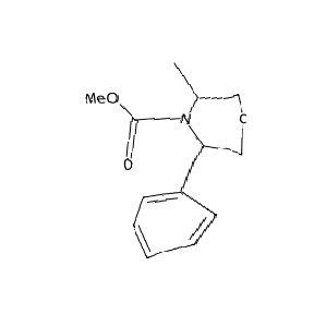 COC(=O)N1C(C)CCCC1c1ccccc1